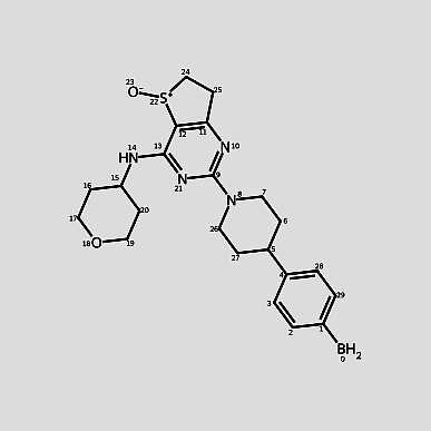 Bc1ccc(C2CCN(c3nc4c(c(NC5CCOCC5)n3)[S+]([O-])CC4)CC2)cc1